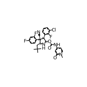 Cn1ccc(NC(=O)O[C@H]2N[C@@H](CC(C)(C)C)[C@](C#N)(c3ccc(F)cc3F)[C@H]2c2cccc(Cl)c2F)cc1=O